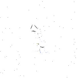 Cc1c(C(=S)N(C)C(C)(C)C2(C)CCc3ccccc32)c(C(C)C)nn1C